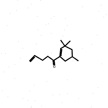 C=CCCC(=O)C1=CC(C)(C)CC(C)C1